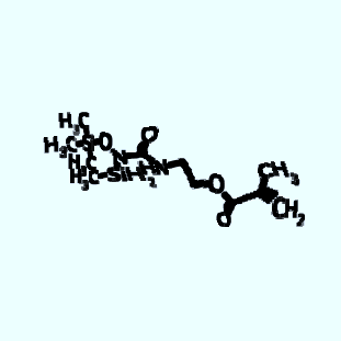 C=C(C)C(=O)OCCNC(=O)N(O[Si](C)(C)C)[SiH2]C